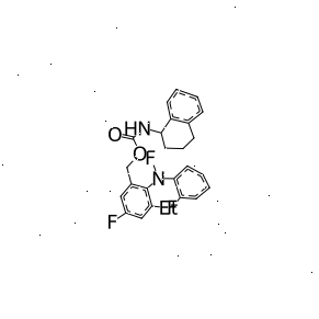 CCc1cc(F)cc(COC(=O)NC2CCCc3ccccc32)c1N(F)c1ccccc1F